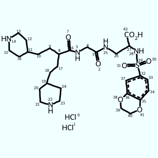 Cl.Cl.O=C(CNC(=O)C(CCC1CCNCC1)CCC1CCNCC1)NCC(NS(=O)(=O)c1ccc2c(c1)OCCO2)C(=O)O